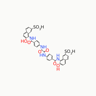 O=C(Nc1ccc(C(=O)Nc2c(O)ccc3ccc(S(=O)(=O)O)cc23)cc1)C(=O)Nc1ccc(C(=O)Nc2c(O)ccc3ccc(S(=O)(=O)O)cc23)cc1